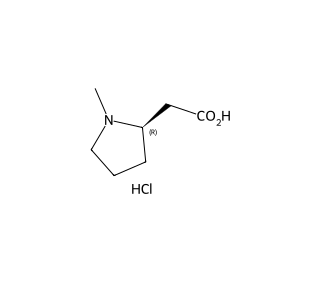 CN1CCC[C@@H]1CC(=O)O.Cl